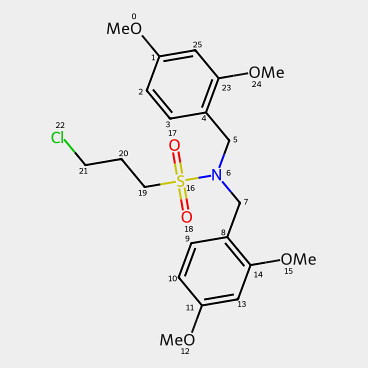 COc1ccc(CN(Cc2ccc(OC)cc2OC)S(=O)(=O)CCCCl)c(OC)c1